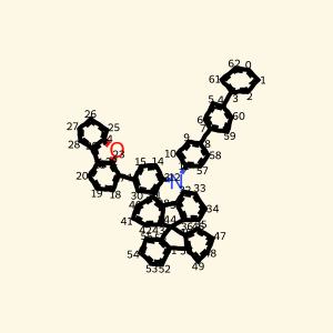 c1ccc(-c2ccc(-c3ccc(N(c4ccc(-c5cccc6c5oc5ccccc56)cc4)c4cccc5c4-c4ccccc4C54c5ccccc5-c5ccccc54)cc3)cc2)cc1